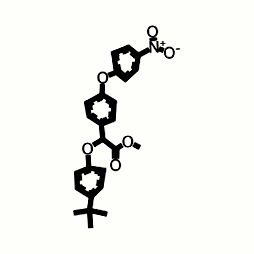 COC(=O)C(Oc1ccc(C(C)(C)C)cc1)c1ccc(Oc2ccc([N+](=O)[O-])cc2)cc1